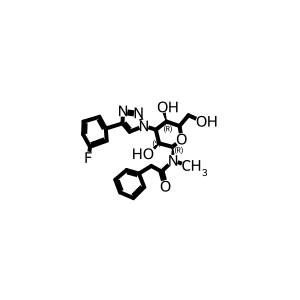 CN(C(=O)Cc1ccccc1)[C@@H]1OC(CO)[C@H](O)C(n2cc(-c3cccc(F)c3)nn2)[C@@H]1O